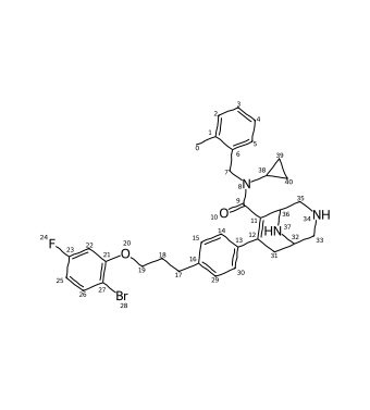 Cc1ccccc1CN(C(=O)C1=C(c2ccc(CCCOc3cc(F)ccc3Br)cc2)CC2CNCC1N2)C1CC1